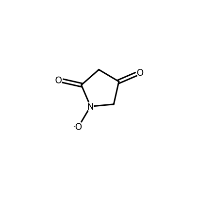 [O]N1CC(=O)CC1=O